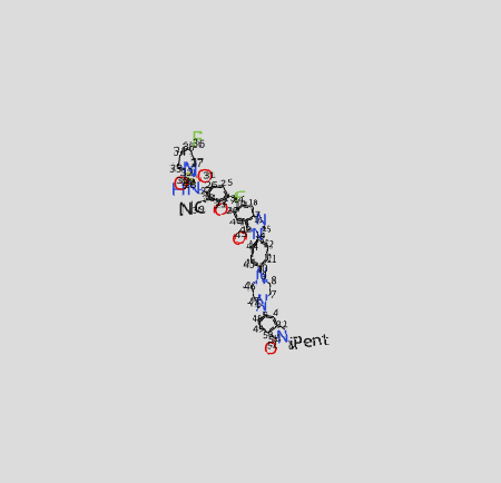 CCCC(C)N1Cc2cc(N3CCN(c4ccc(-n5cnc6ccc(Oc7c(F)ccc(NS(=O)(=O)N8CCC(F)C8)c7C#N)cc6c5=O)cc4)CC3)ccc2C1=O